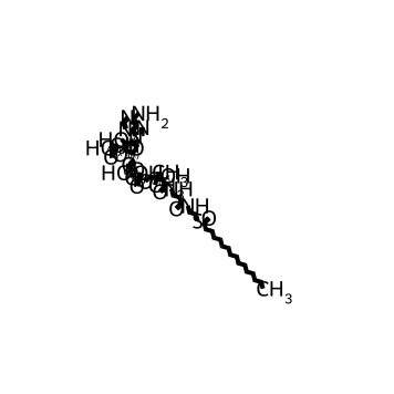 CCCCCCCCCCCCCCCC(=O)SCCNC(=O)CCNC(=O)[C@H](O)C(C)(C)COP(=O)(O)OP(=O)(O)OC[C@H]1O[C@@H](n2cnc3c(N)ncnc32)C(O)[C@H]1OP(=O)(O)O